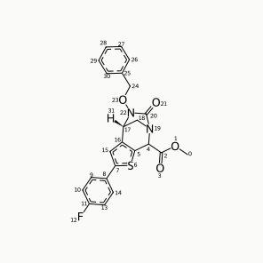 COC(=O)C1c2sc(-c3ccc(F)cc3)cc2[C@H]2CN1C(=O)N2OCc1ccccc1